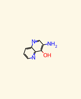 Nc1cnc2cccnc2c1O